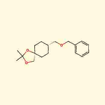 CC1(C)OC[C@]2(CC[C@@H](COCc3ccccc3)CC2)O1